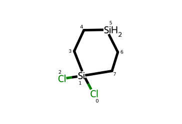 Cl[Si]1(Cl)CC[SiH2]CC1